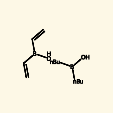 C=CB(O)C=C.CCCCB(O)CCCC